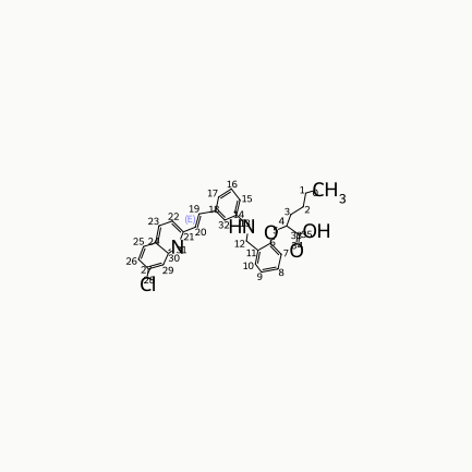 CCCCC(Oc1ccccc1CNc1cccc(/C=C/c2ccc3ccc(Cl)cc3n2)c1)C(=O)O